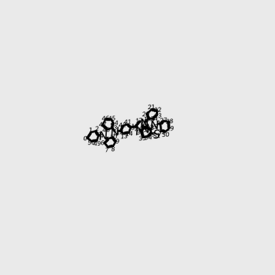 c1ccc(N2c3ccccc3N(c3ccc(-c4cn(-c5ccccc5N5c6ccccc6Sc6ccccc65)nn4)cc3)c3ccccc32)cc1